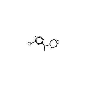 CC(c1ccnc(Cl)c1)N1CCOCC1